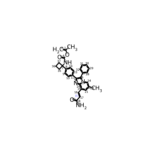 C=C(C)OC(=O)NC1(c2ccc(-c3nc4c(/C=C/C(N)=O)cc(C)cn4c3-c3ccccc3)cc2)CCC1